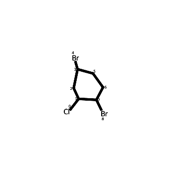 ClC1CC(Br)CCC1Br